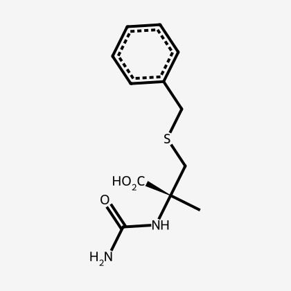 C[C@@](CSCc1ccccc1)(NC(N)=O)C(=O)O